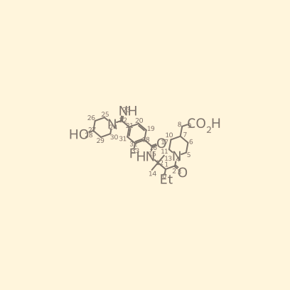 CCC(C(=O)N1CCC(CC(=O)O)CC1)C(C)(C)NC(=O)c1ccc(C(=N)N2CCC(O)CC2)cc1F